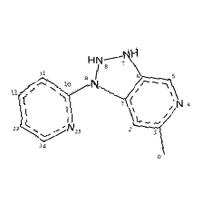 Cc1cc2c(cn1)NNN2c1ccccn1